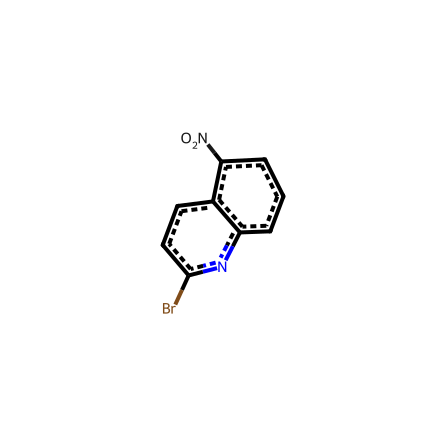 O=[N+]([O-])c1cccc2nc(Br)ccc12